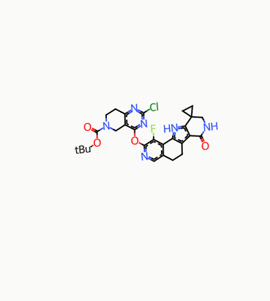 CC(C)(C)OC(=O)N1CCc2nc(Cl)nc(Oc3ncc4c(c3F)-c3[nH]c5c(c3CC4)C(=O)NCC53CC3)c2C1